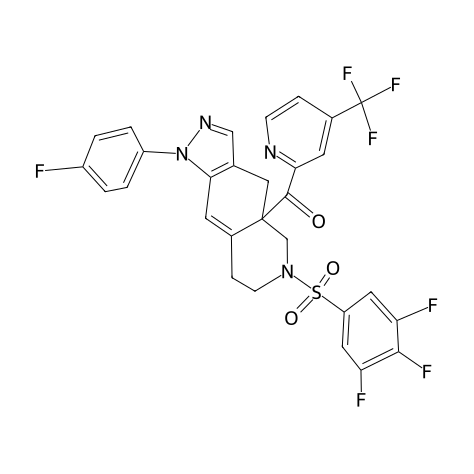 O=C(c1cc(C(F)(F)F)ccn1)C12Cc3cnn(-c4ccc(F)cc4)c3C=C1CCN(S(=O)(=O)c1cc(F)c(F)c(F)c1)C2